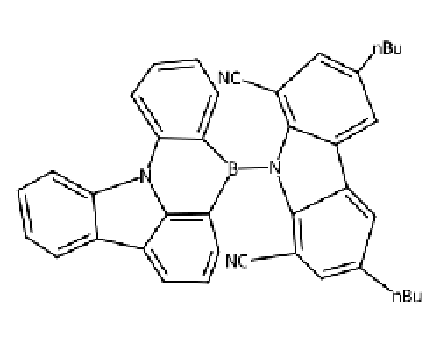 CCCCc1cc(C#N)c2c(c1)c1cc(CCCC)cc(C#N)c1n2B1c2ccccc2-n2c3ccccc3c3cccc1c32